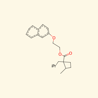 CC(C)CC1(C(=O)OCCOc2ccc3ccccc3c2)CCC1C